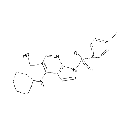 Cc1ccc(S(=O)(=O)n2ccc3c(NC4CCCCC4)c(CO)cnc32)cc1